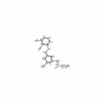 CCOC(=O)[C@H](C)Oc1cc(Cl)nc(SCc2cccc(F)c2F)n1